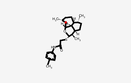 Cc1ccc(NC(=O)CS[C@@H]2O[C@@H]3O[C@]4(C)CC[C@H]5[C@H](C)CC[C@@H]([C@H]2C)[C@@]35OO4)cc1